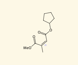 COC(=O)/C(C)=C\C(=O)OC1CCCC1